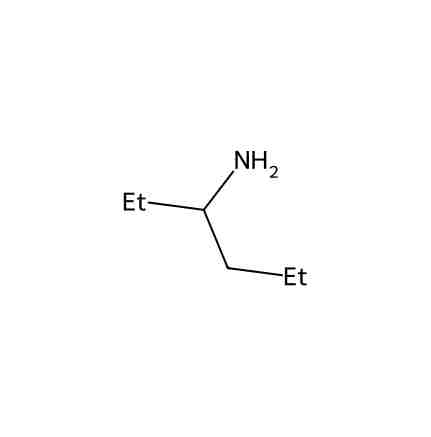 [CH2]CCC(N)CC